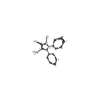 CCn1c(=O)c(N)c(-c2ccccc2)n1-c1ccccc1